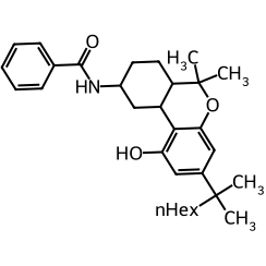 CCCCCCC(C)(C)c1cc(O)c2c(c1)OC(C)(C)C1CCC(NC(=O)c3ccccc3)CC21